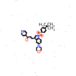 CC(C)(C)c1ccc(S(=O)(=O)n2cc(/C=C/C(=O)c3ccncc3)c3cc(N4CCOCC4)ccc32)cc1